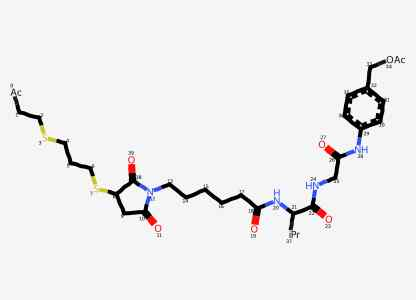 CC(=O)CCSCCCSC1CC(=O)N(CCCCCC(=O)NC(C(=O)NCC(=O)Nc2ccc(COC(C)=O)cc2)C(C)C)C1=O